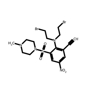 C#Cc1cc([N+](=O)[O-])cc(S(=O)(=O)N2CCN(C)CC2)c1N(CCBr)CCBr